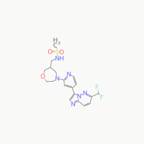 CS(=O)(=O)NCC1COCCN(c2cc(-c3cnc4ccc(C(F)F)nn34)ccn2)C1